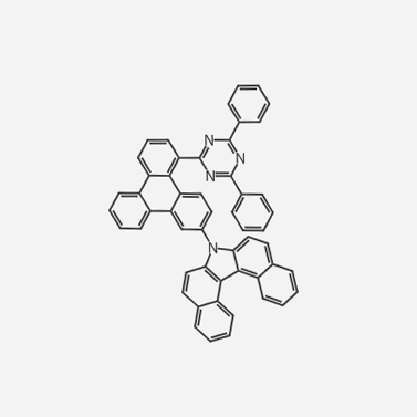 c1ccc(-c2nc(-c3ccccc3)nc(-c3cccc4c5ccccc5c5cc(-n6c7ccc8ccccc8c7c7c8ccccc8ccc76)ccc5c34)n2)cc1